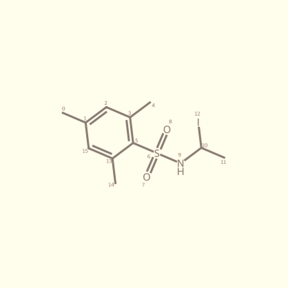 Cc1cc(C)c(S(=O)(=O)NC(C)I)c(C)c1